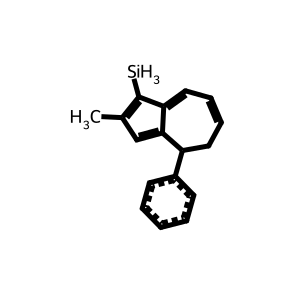 CC1=C([SiH3])C2=CC=CCC(c3ccccc3)C2=C1